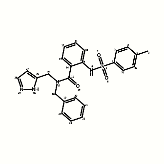 Cc1ccc(S(=O)(=O)Nc2ccccc2C(=O)N(Cc2ccccc2)Cc2ccn[nH]2)cc1